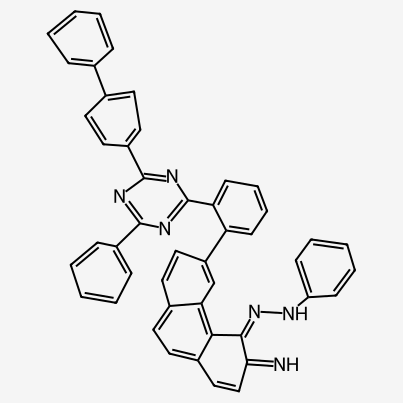 N=C1C=Cc2ccc3ccc(-c4ccccc4-c4nc(-c5ccccc5)nc(-c5ccc(-c6ccccc6)cc5)n4)cc3c2/C1=N/Nc1ccccc1